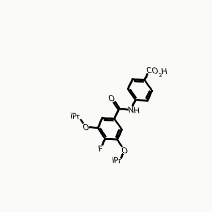 CC(C)Oc1cc(C(=O)Nc2ccc(C(=O)O)cc2)cc(OC(C)C)c1F